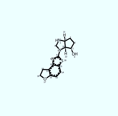 O[C@@H]1CC[C@H]2NCN(c3nc4c5c(ccc4s3)OCC5)[C@@H]12